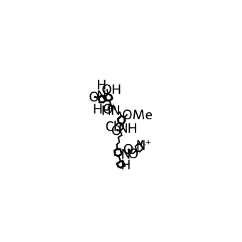 COc1cc(NC(=O)CCCCc2ccc(-c3ccccc3)c(NC(=O)OC3CC[N+](C)(C)CC3)c2)c(Cl)cc1CNC[C@@H](O)c1ccc(O)c2[nH]c(=O)ccc12